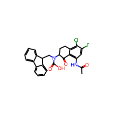 CC(=O)Nc1cc(F)c(Cl)c2c1C(=O)C(N(CC1c3ccccc3-c3ccccc31)C(=O)O)CC2